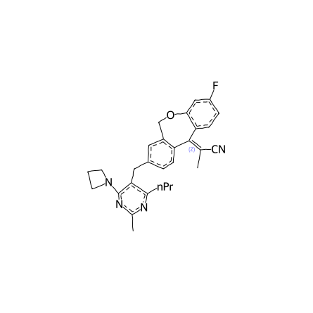 CCCc1nc(C)nc(N2CCC2)c1Cc1ccc2c(c1)COc1cc(F)ccc1/C2=C(/C)C#N